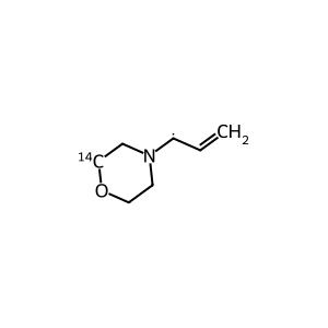 C=C[CH]N1CCO[14CH2]C1